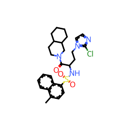 Cc1ccc(S(=O)(=O)NC(CCn2ccnc2Cl)C(=O)N2CCC3CCCCC3C2)c2ccccc12